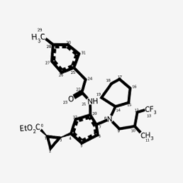 CCOC(=O)[C@@H]1C[C@@H]1c1ccc(N(CC(C)CC(F)(F)F)C2CCCCC2)c(NC(=O)Cc2ccc(C)cc2)c1